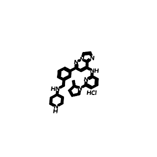 CC1CCCN1c1cccc(Nc2cc(-c3cccc(CNC4CCNCC4)c3)nn3ccnc23)n1.Cl